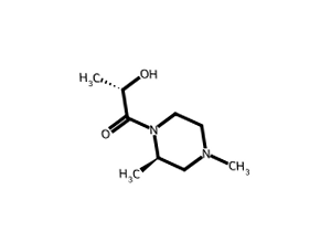 C[C@H](O)C(=O)N1CCN(C)C[C@H]1C